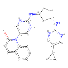 O=c1ccc2ccccc2n1-c1cnc(N[C@H]2CC[C@H](Nc3ncc(C4CC4)cn3)C2)nc1